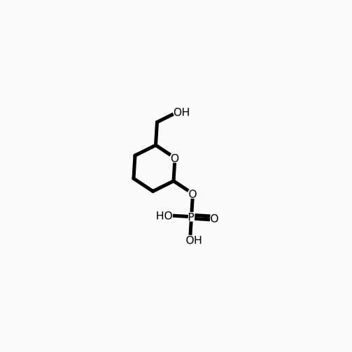 O=P(O)(O)OC1CCCC(CO)O1